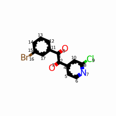 O=C(C(=O)c1ccnc(Cl)c1)c1cccc(Br)c1